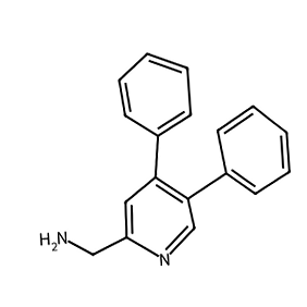 NCc1cc(-c2ccccc2)c(-c2ccccc2)cn1